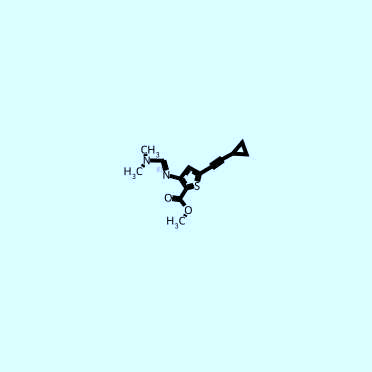 COC(=O)c1sc(C#CC2CC2)cc1/N=C/N(C)C